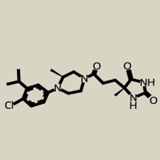 CC(C)c1cc(N2CCN(C(=O)CC[C@@]3(C)NC(=O)NC3=O)C[C@@H]2C)ccc1Cl